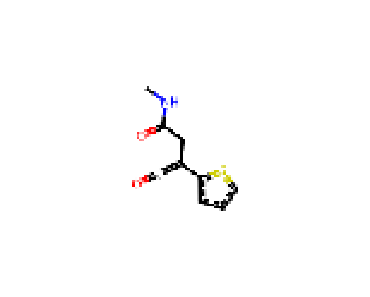 CNC(=O)CC(=C=O)c1cccs1